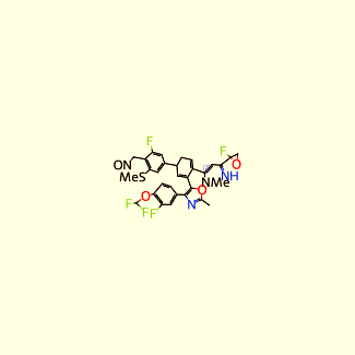 CN/C(=C\C(=N)C1(F)CO1)C1=CCC(c2cc(F)c(CN=O)c(SC)c2)C=C1c1oc(C)nc1-c1ccc(OC(F)F)c(F)c1